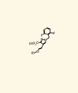 CCOC=Cc1cn(Cc2c(F)cccc2F)nc1C(=O)OCC